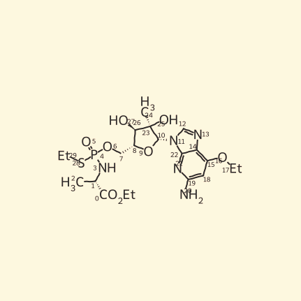 CCOC(=O)[C@H](C)NP(=O)(OC[C@H]1O[C@@H](n2cnc3c(OCC)cc(N)nc32)[C@](C)(O)[C@@H]1O)SCC